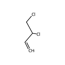 [CH]=CC(Cl)CCl